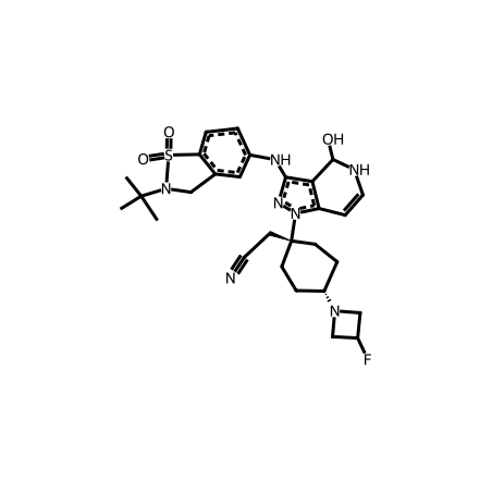 CC(C)(C)N1Cc2cc(Nc3nn([C@]4(CC#N)CC[C@H](N5CC(F)C5)CC4)c4c3C(O)NC=C4)ccc2S1(=O)=O